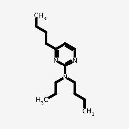 CCCCc1ccnc(N(CCC)CCCC)n1